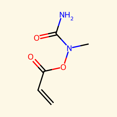 C=CC(=O)ON(C)C(N)=O